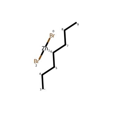 [Br][Zn][Br].[CH2]CCCCCC